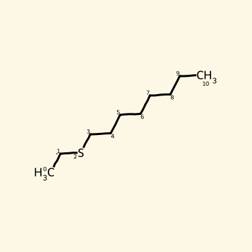 C[CH]SCCCCCCCC